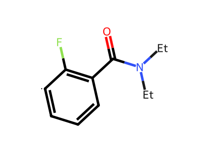 CCN(CC)C(=O)c1ccc[c]c1F